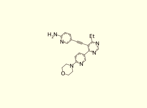 CCc1ncnc(-c2ccc(N3CCOCC3)nc2)c1C#Cc1ccc(N)nc1